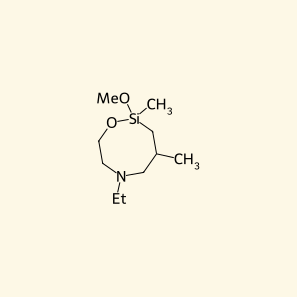 CCN1CCO[Si](C)(OC)CC(C)C1